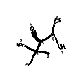 CCCC(C)(C)C(=O)N(O)CC